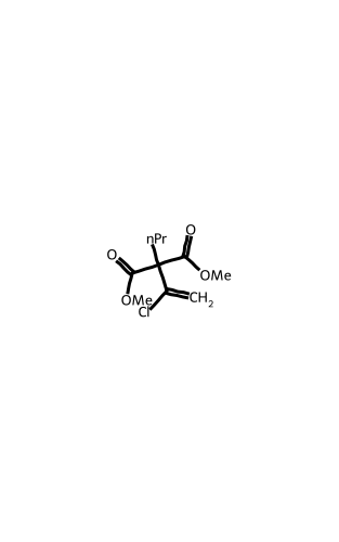 C=C(Cl)C(CCC)(C(=O)OC)C(=O)OC